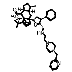 CC(C)C1=CC2CC3(C=O)[C@@H]4CC[C@@H](C)[C@H]4CC2([C@H]2C[C@@H](C4CCCCC4)[C@H](CNCCN4CCN(Cc5ccccn5)CC4)O2)[C@]13C(=O)O